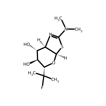 CN(C)C1=N[C@@H]2[C@@H](O)[C@H](O)[C@@H](C(C)(C)F)O[C@@H]2S1